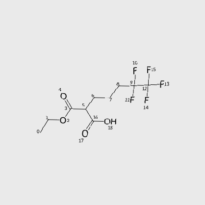 CCOC(=O)C(CCCC(F)(F)C(F)(F)F)C(=O)O